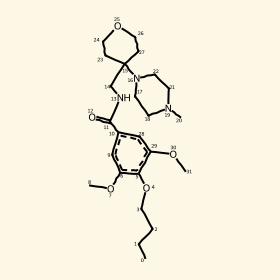 CCCCOc1c(OC)cc(C(=O)NCC2(N3CCN(C)CC3)CCOCC2)cc1OC